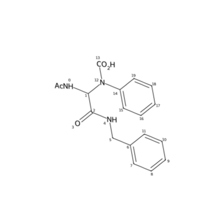 CC(=O)NC(C(=O)NCc1ccccc1)N(C(=O)O)c1ccccc1